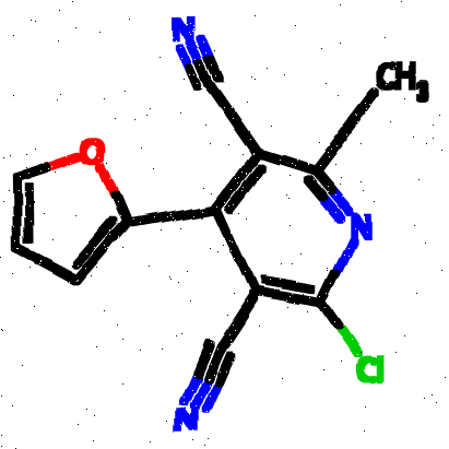 Cc1nc(Cl)c(C#N)c(-c2ccco2)c1C#N